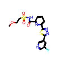 COCCS(=O)(=O)NC(=O)c1cccc(-c2nnc(-c3cncc(F)c3)s2)n1